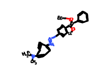 CCO[Si](OCC)(c1ccccc1)c1ccc(/N=N/c2ccc(N(C)C)cc2)cc1